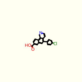 O=C(O)c1ccc2c(c1)cc(-c1ccc(Cl)cc1)c1ccncc12